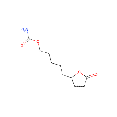 NC(=O)OCCCCCC1C=CC(=O)O1